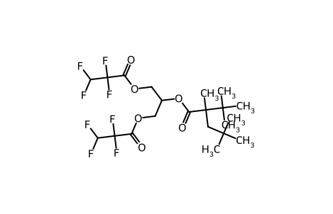 CC(C)(C)CC(C)(C(=O)OC(COC(=O)C(F)(F)C(F)F)COC(=O)C(F)(F)C(F)F)C(C)(C)C